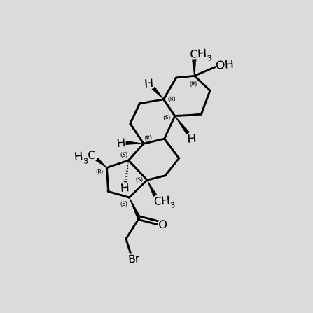 C[C@@H]1C[C@H](C(=O)CBr)[C@@]2(C)CCC3[C@H]4CC[C@@](C)(O)C[C@H]4CC[C@H]3[C@H]12